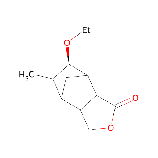 CCO[C@@H]1C(C)C2CC1C1C(=O)OCC21